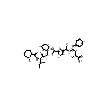 CC[C@H](C)[C@H](NC(=O)C1CCCCN1C)C(=O)N[C@H](C[C@@H](O)c1nc(C(=O)N[C@@H](Cc2ccccc2)C[C@H](C)C(=O)O)cs1)C1CCCCC1